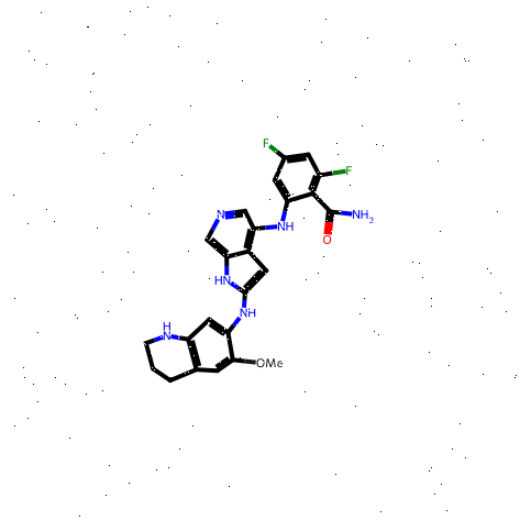 COc1cc2c(cc1Nc1cc3c(Nc4cc(F)cc(F)c4C(N)=O)cncc3[nH]1)NCCC2